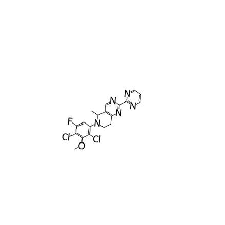 COc1c(Cl)c(F)cc(N2CCc3nc(-c4ncccn4)ncc3C2C)c1Cl